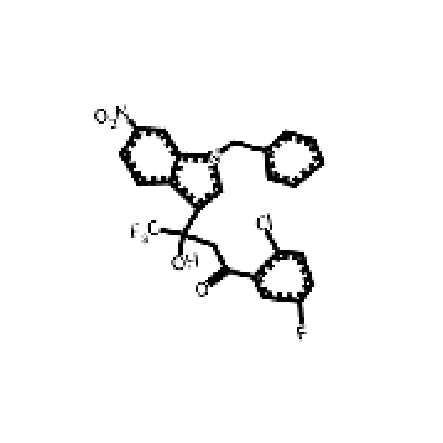 O=C(CC(O)(c1cn(Cc2ccccc2)c2cc([N+](=O)[O-])ccc12)C(F)(F)F)c1cc(F)ccc1Cl